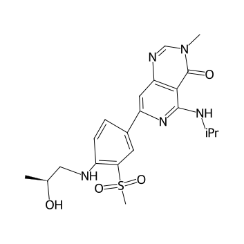 CC(C)Nc1nc(-c2ccc(NC[C@H](C)O)c(S(C)(=O)=O)c2)cc2ncn(C)c(=O)c12